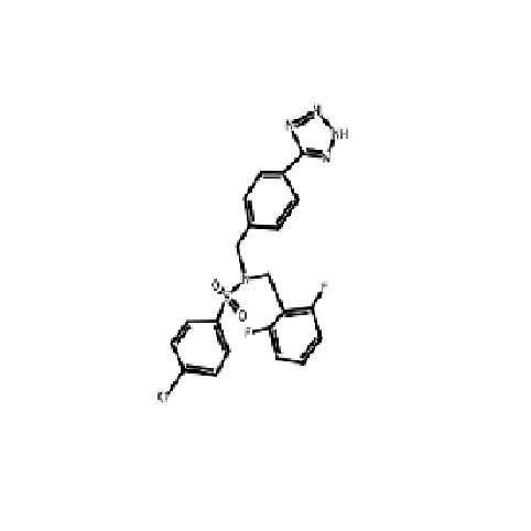 O=S(=O)(c1ccc(Cl)cc1)N(Cc1ccc(-c2nn[nH]n2)cc1)Cc1c(F)cccc1F